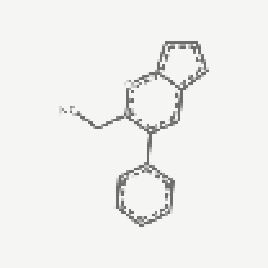 N#CCc1oc2cccc-2cc1-c1ccccc1